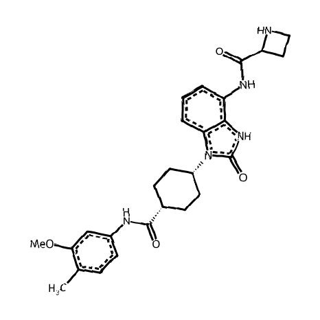 COc1cc(NC(=O)[C@H]2CC[C@@H](n3c(=O)[nH]c4c(NC(=O)C5CCN5)cccc43)CC2)ccc1C